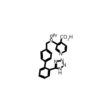 CCCN(Cc1ccc(-c2ccccc2-c2nnn[nH]2)cc1)c1cnccc1C(=O)O